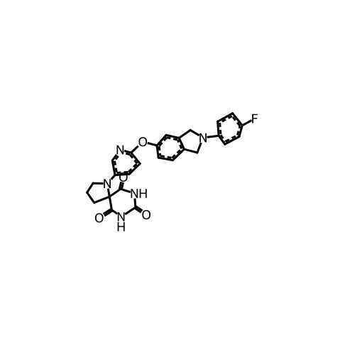 O=C1NC(=O)C2(CCCN2c2ccc(Oc3ccc4c(c3)CN(c3ccc(F)cc3)C4)nc2)C(=O)N1